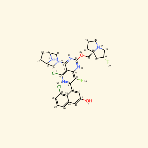 Oc1cc(-c2nc(Cl)c3c(N4CC5CCC(C4)N5)nc(OC[C@@]45CCCN4C[C@H](F)C5)nc3c2F)c2c(Cl)cccc2c1